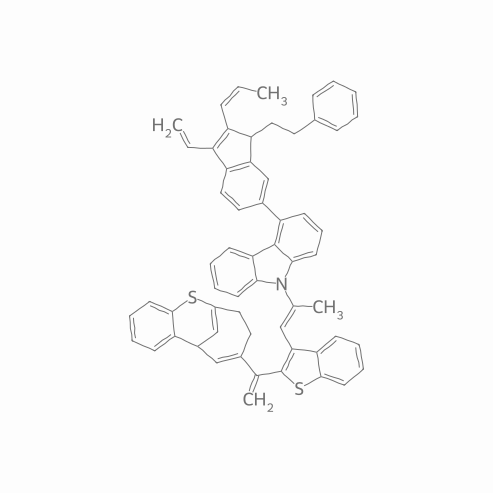 C=CC1=C(/C=C\C)C(CCc2ccccc2)c2cc(-c3cccc4c3c3ccccc3n4/C(C)=C/c3c(C(=C)C4=CC5C=C(CC4)Sc4ccccc45)sc4ccccc34)ccc21